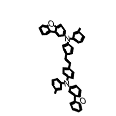 Cc1cccc(N(c2ccc(/C=C/c3ccc(N(c4cccc(C)c4)c4ccc5oc6ccccc6c5c4)cc3)cc2)c2ccc3oc4ccccc4c3c2)c1